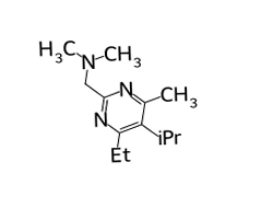 CCc1nc(CN(C)C)nc(C)c1C(C)C